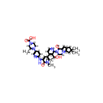 C[C@@H](O)c1c(-c2cc(Nc3ccc(N4CCN(C(=O)O)C[C@@H]4C)cn3)c(=O)n(C)c2)ccnc1N1CCn2c(cc3c2CC(C)(C)C3)C1=O